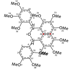 COc1ccc([SiH](O[SiH](c2ccc(OC)c(OC)c2OC)c2ccc(OC)c(OC)c2OC)c2ccc(OC)c(OC)c2OC)c(OC)c1OC